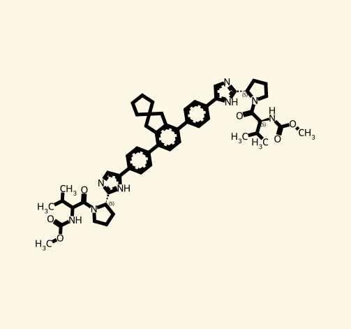 COC(=O)NC(C(=O)N1CCC[C@H]1c1ncc(-c2ccc(-c3ccc(-c4ccc(-c5cnc([C@@H]6CCCN6C(=O)[C@@H](NC(=O)OC)C(C)C)[nH]5)cc4)c4c3CC3(CCCC3)C4)cc2)[nH]1)C(C)C